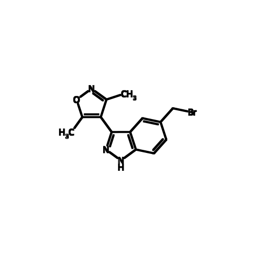 Cc1noc(C)c1-c1n[nH]c2ccc(CBr)cc12